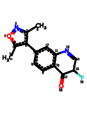 Cc1noc(C)c1-c1ccc2c(c1)N=CC(F)C2=O